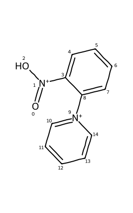 O=[N+](O)c1ccccc1-[n+]1ccccc1